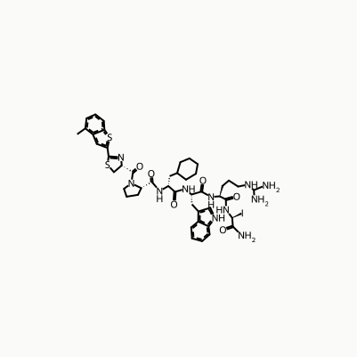 Cc1cccc2sc(C3=N[C@H](C(=O)N4CCC[C@H]4C(=O)N[C@H](CC4CCCCC4)C(=O)N[C@@H](Cc4c[nH]c5ccccc45)C(=O)N[C@@H](CCCNC(N)N)C(=O)N[C@@H](I)C(N)=O)CS3)cc12